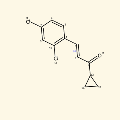 O=C(/C=C/c1ccc(Cl)cc1Cl)C1CC1